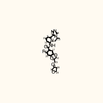 CC(C)n1cnnc1-c1cccc(NC(=O)c2cc3c(cc2F)OC(COC2CCOC2)CO3)n1